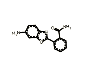 NC(=O)c1ccccc1-c1nc2ccc(N)cc2o1